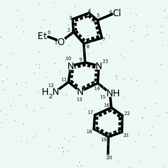 CCOc1ccc(Cl)cc1-c1nc(N)nc(Nc2ccc(C)cc2)n1